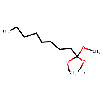 CCCCCCCCC(OC)(OC)O[SiH3]